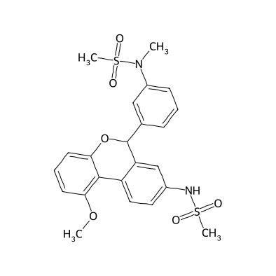 COc1cccc2c1-c1ccc(NS(C)(=O)=O)cc1C(c1cccc(N(C)S(C)(=O)=O)c1)O2